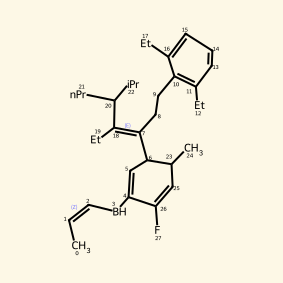 C/C=C\BC1=CC(/C(CCc2c(CC)cccc2CC)=C(\CC)C(CCC)C(C)C)C(C)C=C1F